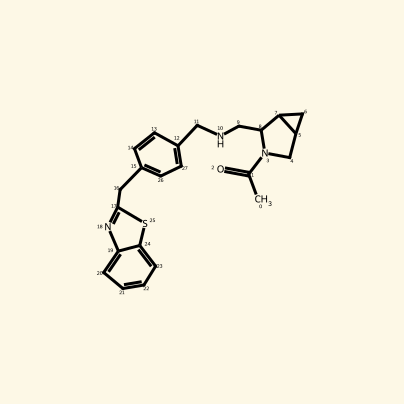 CC(=O)N1CC2CC2C1CNCc1ccc(Cc2nc3ccccc3s2)cc1